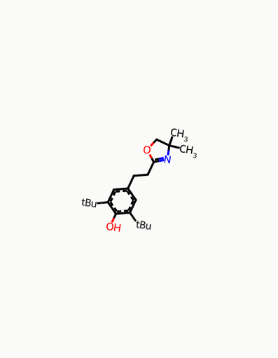 CC1(C)COC(CCc2cc(C(C)(C)C)c(O)c(C(C)(C)C)c2)=N1